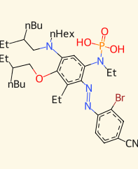 CCCCCCN(CC(CC)CCCC)c1cc(N(CC)P(=O)(O)O)c(N=Nc2ccc(C#N)cc2Br)c(CC)c1OCC(CC)CCCC